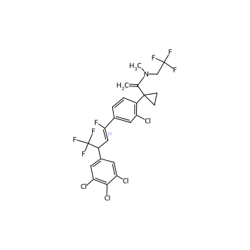 C=C(N(C)CC(F)(F)F)C1(c2ccc(/C(F)=C/C(c3cc(Cl)c(Cl)c(Cl)c3)C(F)(F)F)cc2Cl)CC1